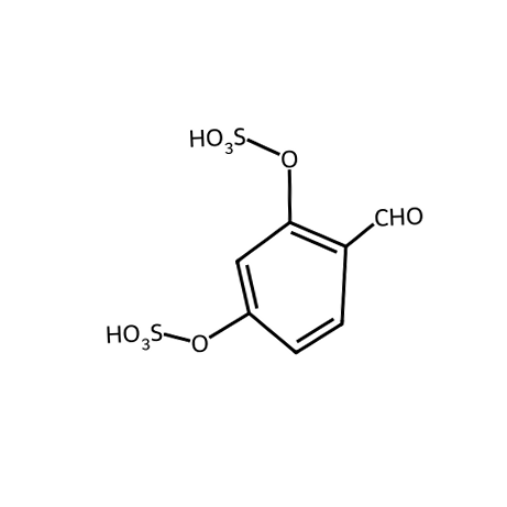 O=Cc1ccc(OS(=O)(=O)O)cc1OS(=O)(=O)O